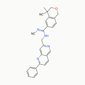 CC1(C#N)COCc2ccc(C(=NC#N)NCc3cc4nc(-c5ccccc5)ccc4cn3)cc21